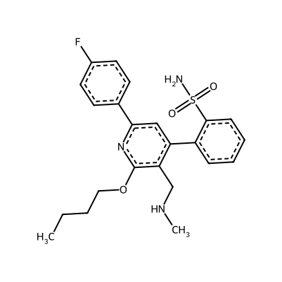 CCCCOc1nc(-c2ccc(F)cc2)cc(-c2ccccc2S(N)(=O)=O)c1CNC